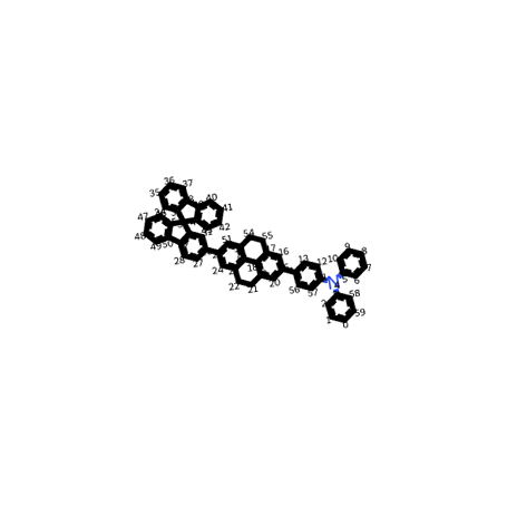 c1ccc(N(c2ccccc2)c2ccc(-c3cc4c5c(c3)CCc3cc(-c6ccc7c(c6)C6(c8ccccc8-c8ccccc86)c6ccccc6-7)cc(c3-5)CC4)cc2)cc1